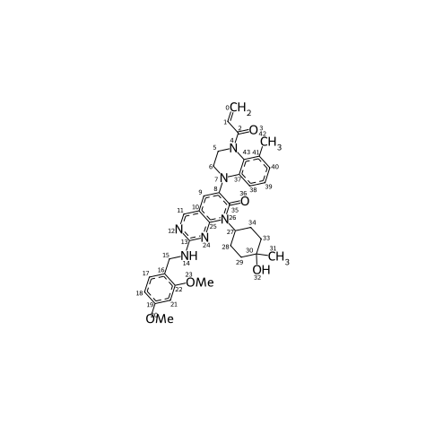 C=CC(=O)N1CCN(c2cc3cnc(NCc4ccc(OC)cc4OC)nc3n(C3CCC(C)(O)CC3)c2=O)c2cccc(C)c21